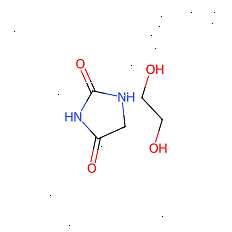 O=C1CNC(=O)N1.OCCO